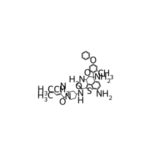 Cc1cc(Oc2ccccc2)ccc1C1(N)C(=O)C(N)c2c(C(=O)NC3CCN(C(=O)/C(C#N)=C/C(C)(C)C)CC3)sc3c(N)ccc1c23